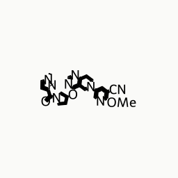 COc1ncc(N2CCc3ncnc(O[C@H]4CCN(C(=O)c5ccn(C)n5)C4)c3C2)cc1C#N